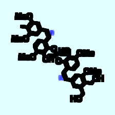 COc1cc(/C=C\c2ccc(OC)c(O)c2OP(=O)(O)Oc2c(/C=C\c3cc(CO)c(CO)c(OC)c3)ccc(OC)c2O)cc(OC)c1C